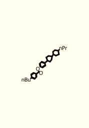 CCCCc1ccc(C(=O)Oc2ccc(C3CCC(C4CCC(CCC)CC4)CC3)cc2)cc1